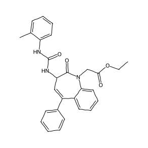 CCOC(=O)CN1C(=O)C(NC(=O)Nc2ccccc2C)C=C(c2ccccc2)c2ccccc21